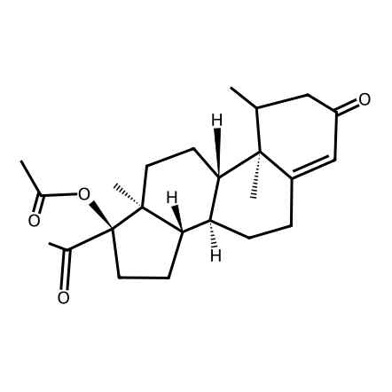 CC(=O)O[C@]1(C(C)=O)CC[C@H]2[C@@H]3CCC4=CC(=O)CC(C)[C@]4(C)[C@H]3CC[C@@]21C